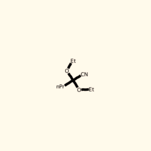 CCCC(C#N)(OCC)OCC